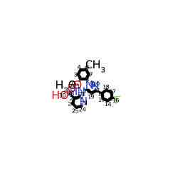 COc1ccc(C)cc1-n1nc(-c2ccc(F)cc2)cc1Nc1ncccc1C(=O)O